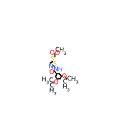 COC(=O)CSc1cnc(NC(=O)c2cc(OC(C)C)cc(OC(C)C)c2)s1